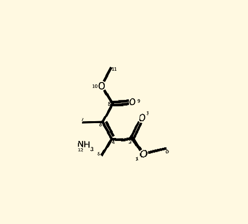 COC(=O)/C(C)=C(/C)C(=O)OC.N